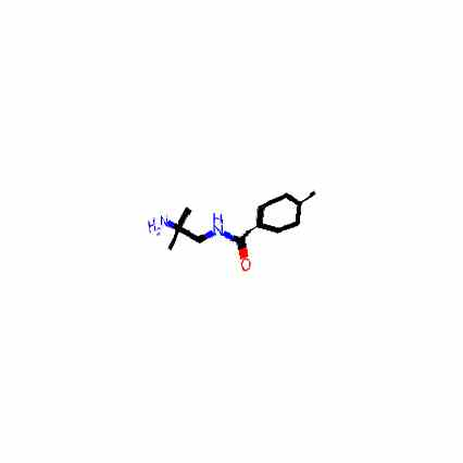 CC(C)(N)CNC(=O)[C@H]1CC[C@@H](C)CC1